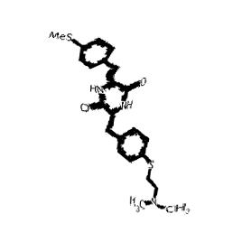 CSc1ccc(/C=c2\[nH]c(=O)/c(=C/c3ccc(SCCN(C)C)cc3)[nH]c2=O)cc1